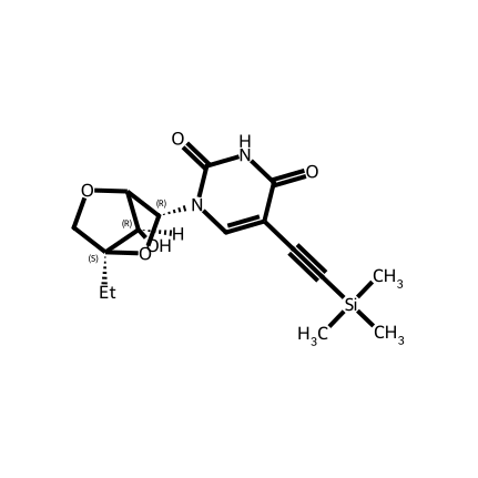 CC[C@@]12COC([C@H](n3cc(C#C[Si](C)(C)C)c(=O)[nH]c3=O)O1)[C@H]2O